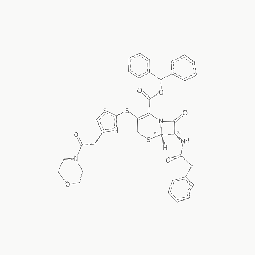 O=C(Cc1ccccc1)N[C@@H]1C(=O)N2C(C(=O)OC(c3ccccc3)c3ccccc3)=C(Sc3nc(CC(=O)N4CCOCC4)cs3)CS[C@@H]12